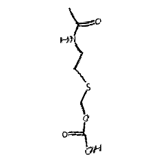 CC(=O)NCCSCOC(=O)O